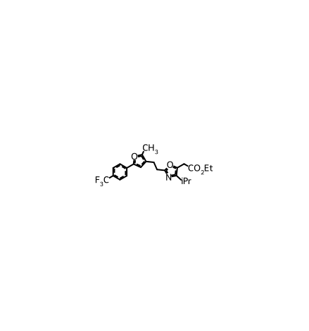 CCOC(=O)Cc1oc(CCc2cc(-c3ccc(C(F)(F)F)cc3)oc2C)nc1C(C)C